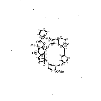 COc1ccc2cc1Oc1ccc(cc1)C[C@H]1c3cc(c(OC)cc3CCN1C)Oc1c(OC(=O)c3ccccc3)c(OC)c(Cl)c3c1[C@H](C2)N(C)CC3